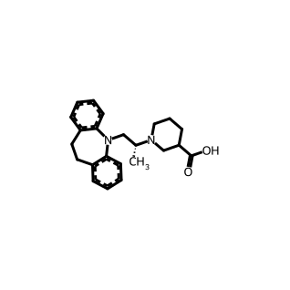 C[C@H](CN1c2ccccc2CCc2ccccc21)N1CCCC(C(=O)O)C1